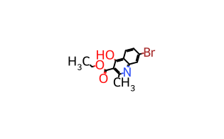 CCOC(=O)c1c(C)nc2cc(Br)ccc2c1O